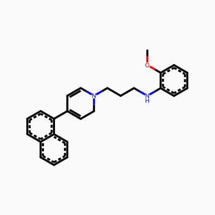 COc1ccccc1NCCCN1C=CC(c2cccc3ccccc23)=CC1